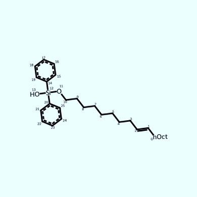 CCCCCCCCC=CCCCCCCCCO[Si](O)(c1ccccc1)c1ccccc1